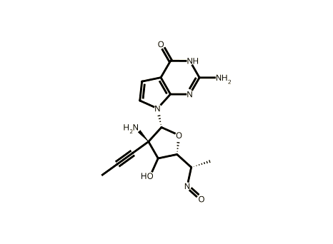 CC#C[C@@]1(N)C(O)[C@@H]([C@H](C)N=O)O[C@H]1n1ccc2c(=O)[nH]c(N)nc21